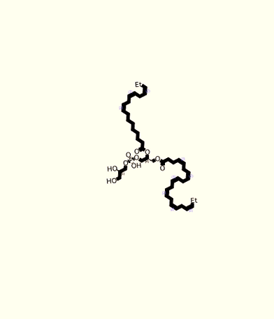 CC/C=C\C/C=C\C/C=C\C/C=C\C/C=C\C/C=C\CCC(=O)OC[C@H](COP(=O)(O)OC[C@@H](O)CO)OC(=O)CCCCCCC/C=C\C/C=C\C/C=C\CC